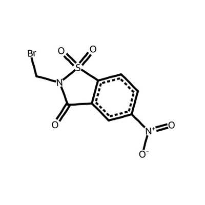 O=C1c2cc([N+](=O)[O-])ccc2S(=O)(=O)N1CBr